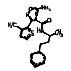 Cc1ccsc1-c1noc(N)c1C(=O)NC(C)CCc1ccccc1